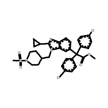 COC(=O)C(c1ccc(Cl)cc1)(c1ccc(Cl)cc1)c1ccc2nc(C3CC3)n(CC3CCN(S(C)(=O)=O)CC3)c2c1